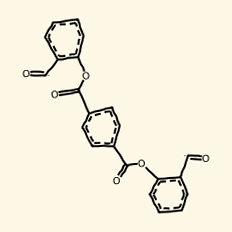 O=[C]c1ccccc1OC(=O)c1ccc(C(=O)Oc2ccccc2[C]=O)cc1